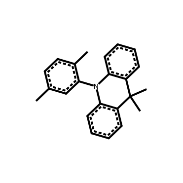 Cc1ccc(C)c(N2c3ccccc3C(C)(C)c3ccccc32)c1